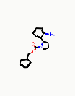 Nc1ccccc1C1CCCN1C(=O)OCc1ccccc1